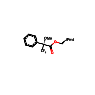 CCC[C@H](C)COC(=O)[C@](OC)(c1ccccc1)C(F)(F)F